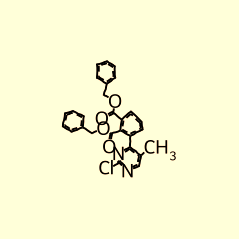 Cc1cnc(Cl)nc1-c1cccc(C(=O)OCc2ccccc2)c1C(=O)OCc1ccccc1